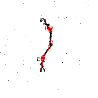 CC[C@H](COCCCCCCCCCCCCOC[C@H]1CC[C@@H](COCCCCCCCCCCCCOC[C@@H](CO)OCCC(C)CCC[C@H](C)CCC[C@H](C)CCCC(C)C)C1)OCCC(C)CCC[C@H](C)CCC[C@H](C)CCCC(C)C